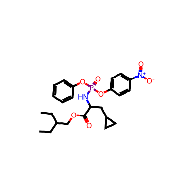 CCC(CC)COC(=O)C(CC1CC1)NP(=O)(Oc1ccccc1)Oc1ccc([N+](=O)[O-])cc1